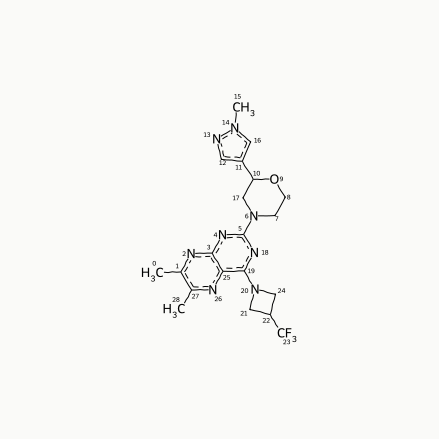 Cc1nc2nc(N3CCOC(c4cnn(C)c4)C3)nc(N3CC(C(F)(F)F)C3)c2nc1C